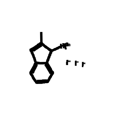 CC1=Cc2ccccc2[CH]1[Hf+3].[I-].[I-].[I-]